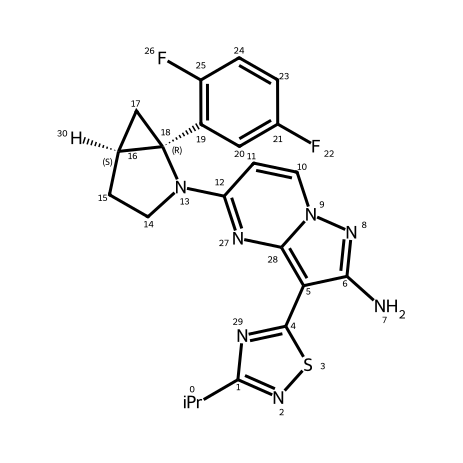 CC(C)c1nsc(-c2c(N)nn3ccc(N4CC[C@H]5C[C@]54c4cc(F)ccc4F)nc23)n1